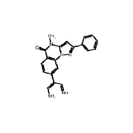 Cn1c(=O)c2ccc(/C(C=N)=C/N)cc2n2nc(-c3ccccc3)cc12